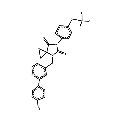 O=C1N(c2ccc(SC(F)(F)F)cc2)C(=O)C2(CC2)N1Cc1ccnc(-c2ccc(Cl)cc2)c1